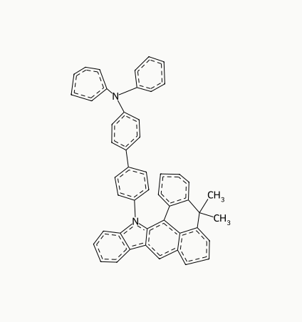 CC1(C)c2ccccc2-c2c3c1cccc3cc1c3ccccc3n(-c3ccc(-c4ccc(N(c5ccccc5)c5ccccc5)cc4)cc3)c21